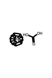 O=C(O)O.[CH]12[CH]3[CH]4[CH]5[CH]1[Fe]23451678[CH]2[CH]1[CH]6[CH]7[CH]28